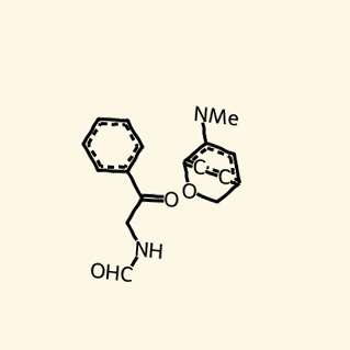 CNc1cc2ccc1OC2.O=CNCC(=O)c1ccccc1